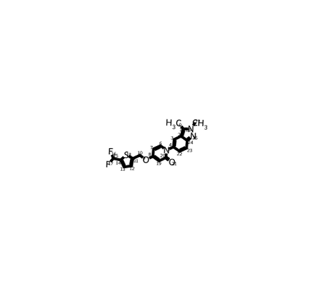 Cc1c2cc(-n3ccc(OCc4ccc(C(F)F)s4)cc3=O)ccc2nn1C